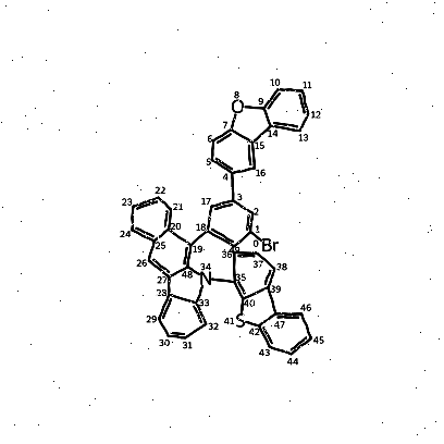 Brc1cc(-c2ccc3oc4ccccc4c3c2)cc(-c2c3ccccc3cc3c4ccccc4n(-c4cccc5c4sc4ccccc45)c23)c1